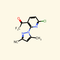 Cc1cc(C#N)nn1-c1nc(Cl)ccc1C(=O)C(F)(F)F